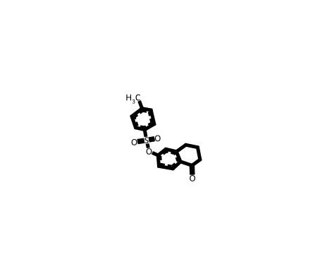 Cc1ccc(S(=O)(=O)Oc2ccc3c(c2)CCCC3=O)cc1